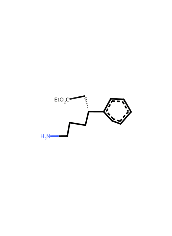 CCOC(=O)C[C@@H](CCCN)c1ccccc1